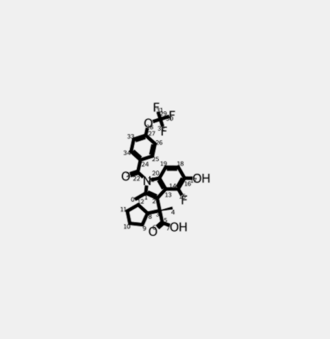 Cc1c([C@](C)(C(=O)O)C2CCCC2)c2c(F)c(O)ccc2n1C(=O)c1ccc(OC(F)(F)F)cc1